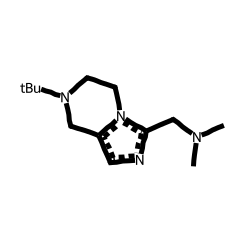 CN(C)Cc1ncc2n1CCN(C(C)(C)C)C2